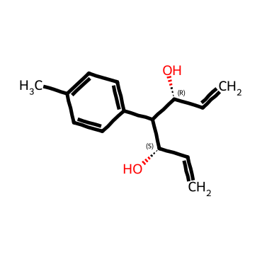 C=C[C@@H](O)C(c1ccc(C)cc1)[C@@H](O)C=C